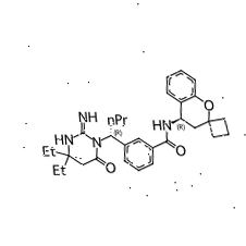 CCC[C@H](c1cccc(C(=O)N[C@@H]2CC3(CCC3)Oc3ccccc32)c1)N1C(=N)NC(CC)(CC)CC1=O